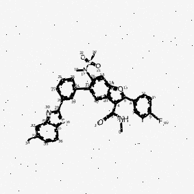 CNC(=O)c1c(-c2ccc(F)cc2)oc2cc(N(C)S(C)(=O)=O)c(-c3cccc(-c4nc5cc(C)ccc5s4)c3)cc12